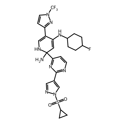 NC1(c2ccnc(-c3cnn(S(=O)(=O)C4CC4)c3)n2)C=C(NC2CCC(F)CC2)C(c2ccn(C(F)(F)F)n2)=CN1